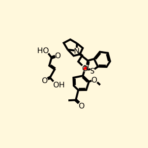 COc1cc(C(C)=O)ccc1OCCN1C2CCC1CC(c1nsc3ccccc13)C2.O=C(O)C=CC(=O)O